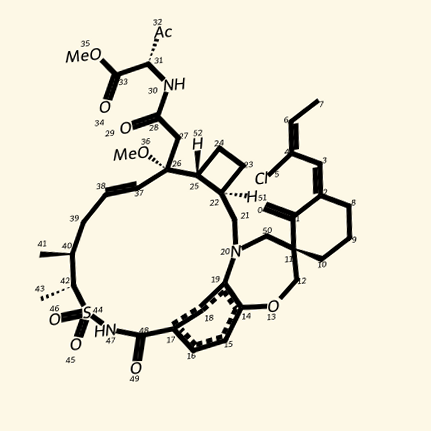 C=C1/C(=C\C(Cl)=C/C)CCC[C@]12COc1ccc3cc1N(C[C@@H]1CC[C@H]1[C@@](CC(=O)N[C@@H](C(C)=O)C(=O)OC)(OC)/C=C/C[C@H](C)[C@@H](C)S(=O)(=O)NC3=O)C2